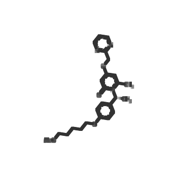 COCCCCCOc1ccc([C@@H](C)n2c(C)cc(OCc3ncccn3)cc2=O)cc1